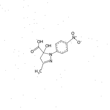 CC1=NN(c2ccc([N+](=O)[O-])cc2)C(O)(C(=O)O)C1